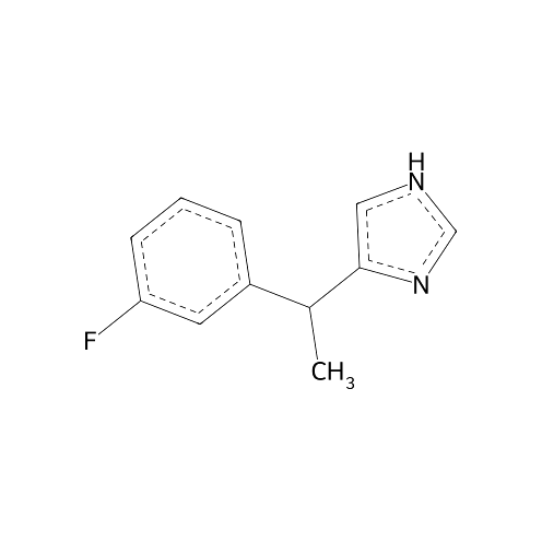 CC(c1cccc(F)c1)c1c[nH]cn1